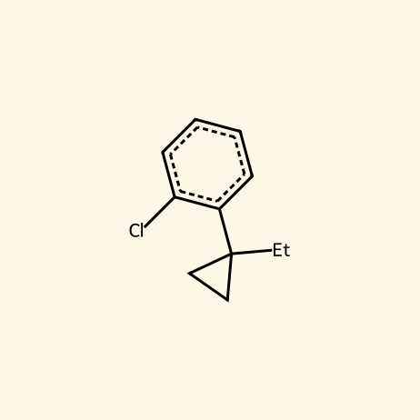 CCC1(c2ccccc2Cl)CC1